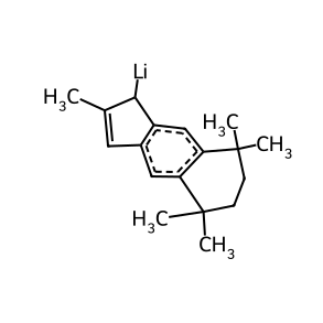 [Li][CH]1C(C)=Cc2cc3c(cc21)C(C)(C)CCC3(C)C